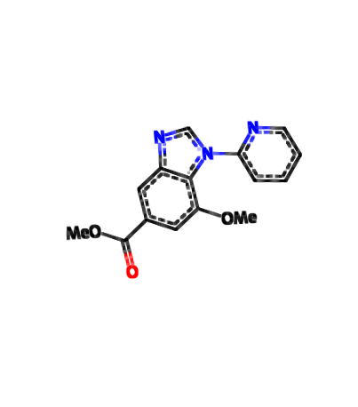 COC(=O)c1cc(OC)c2c(c1)ncn2-c1ccccn1